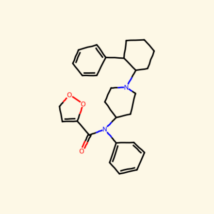 O=C(C1=CCOO1)N(c1ccccc1)C1CCN(C2CCCCC2c2ccccc2)CC1